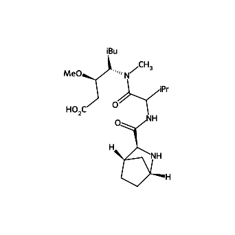 CC[C@H](C)[C@@H]([C@@H](CC(=O)O)OC)N(C)C(=O)C(NC(=O)[C@H]1N[C@@H]2CC[C@H]1C2)C(C)C